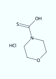 Cl.OC(=S)N1CCOCC1